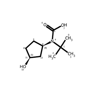 CC(C)(C)N(C(=O)O)[C@@H]1CC[C@H](O)C1